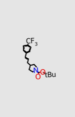 CC(C)(C)OC(=O)N1CCC(CC=Cc2ccc(C(F)(F)F)cc2)CC1